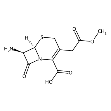 COC(=O)CC1=C(C(=O)O)N2C(=O)[C@@H](N)[C@H]2SC1